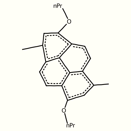 CCCOc1cc(C)c2ccc3c(OCCC)cc(C)c4ccc1c2c43